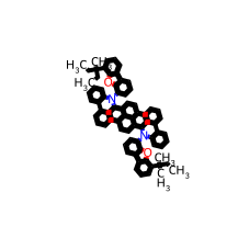 CCC(C)(C)c1cccc2c1oc1c(N(c3ccccc3-c3ccccc3)c3ccc4ccc5c(N(c6ccccc6-c6ccccc6)c6cccc7c6oc6c(C(C)(CC)CC)cccc67)ccc6ccc3c4c65)cccc12